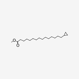 COC(=O)CCCCCCCCCCCCCCC1CC1